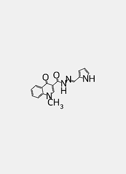 Cn1cc(C(=O)NN=Cc2ccc[nH]2)c(=O)c2ccccc21